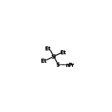 [CH2]CCS[Si](CC)(CC)CC